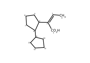 CC=C(C(=O)O)C1CCCC1C1CCCC1